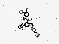 C[Si](C)(C)CCOCn1ccc2c(C(=O)Nc3ccc(F)c(Cl)c3)cc(S(=O)(=O)Cl)cc21